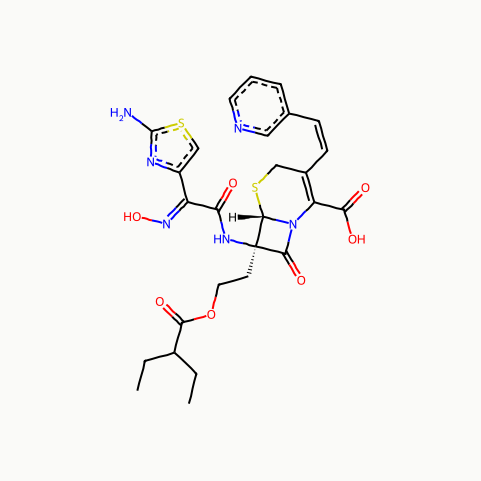 CCC(CC)C(=O)OCC[C@@]1(NC(=O)C(=NO)c2csc(N)n2)C(=O)N2C(C(=O)O)=C(/C=C\c3cccnc3)CS[C@H]21